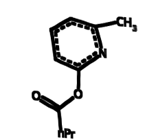 CCCC(=O)Oc1cccc(C)n1